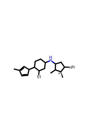 CCCC1CC(NC2CCC(C3C=CC(C)=C3)C(CC)C2)C(C)[C@@H]1C